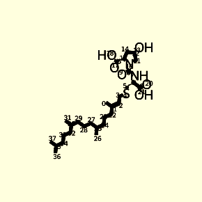 C/C(=C\CSC[C@H](NC(=O)N1C[C@H](O)C[C@H]1C(=O)O)C(=O)O)CCCC(C)CCCC(C)CCCC(C)C